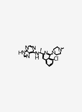 C[C@H](Nc1ncnc2[nH]cnc12)c1cc2cccc(Cl)c2c(N2CCN(C)CC2)n1